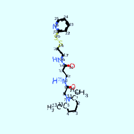 [13CH3][13C@@H]1CCC[13C@H]([13CH3])N1CC(=O)[15NH]CCC(=O)NCCSSc1ccccn1